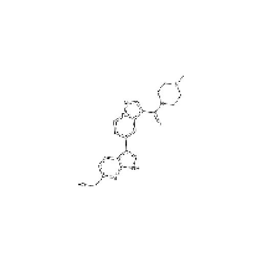 CN1CCN(C(=O)c2cnn3ccc(-c4c[nH]c5nc(CO)ccc45)cc23)CC1